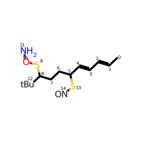 C/C=C/C=C/C(CCC(SON)C(C)(C)C)SN=O